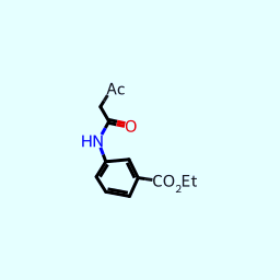 CCOC(=O)c1cccc(NC(=O)CC(C)=O)c1